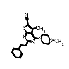 Cc1c(C#N)sc2nc(CCc3ccccc3)nc(N3CCN(C)CC3)c12